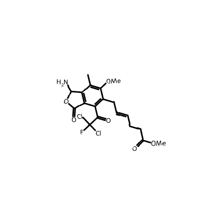 COC(=O)CCC=CCc1c(OC)c(C)c2c(c1C(=O)C(F)(Cl)Cl)C(=O)OC2N